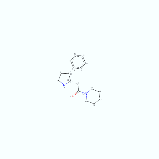 O=C(C[C@@H]1[N]CC[C@@H]1c1ccccc1)N1CCCCC1